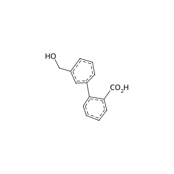 O=C(O)c1ccccc1-c1cccc(CO)c1